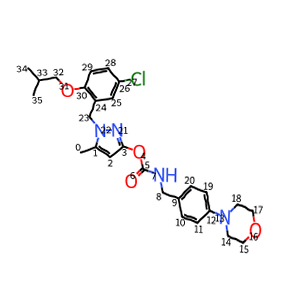 Cc1cc(OC(=O)NCc2ccc(N3CCOCC3)cc2)nn1Cc1cc(Cl)ccc1OCC(C)C